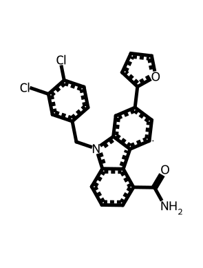 NC(=O)c1cccc2c1c1[c]cc(-c3ccco3)cc1n2Cc1ccc(Cl)c(Cl)c1